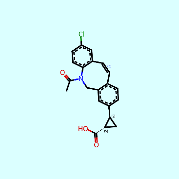 CC(=O)N1Cc2cc([C@H]3C[C@@H]3C(=O)O)ccc2/C=C\c2cc(Cl)ccc21